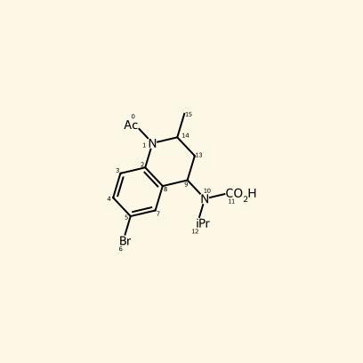 CC(=O)N1c2ccc(Br)cc2C(N(C(=O)O)C(C)C)CC1C